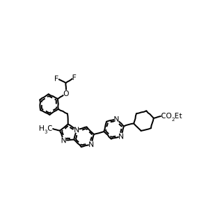 CCOC(=O)C1CCC(c2ncc(-c3cn4c(Cc5ccccc5OC(F)F)c(C)nc4cn3)cn2)CC1